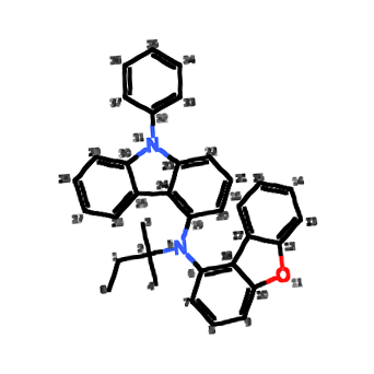 CCC(C)(C)N(c1cccc2oc3ccccc3c12)c1cccc2c1c1ccccc1n2-c1ccccc1